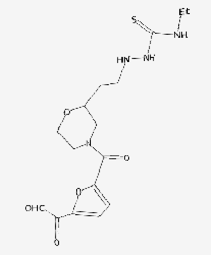 CCNC(=S)NNCCC1CN(C(=O)c2ccc(C(=O)C=O)o2)CCO1